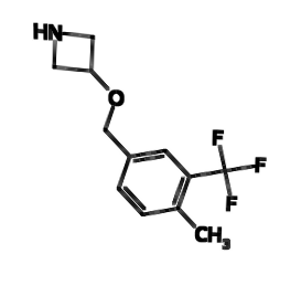 Cc1ccc(COC2CNC2)cc1C(F)(F)F